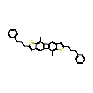 Cc1c2c(cc3cc(CCCc4ccccc4)sc13)-c1c-2cc2cc(CCCc3ccccc3)sc2c1C